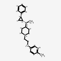 Cc1ccc(OCCN2CCC(N(C)[C@@H]3C[C@H]3c3ccccc3)CC2)cn1